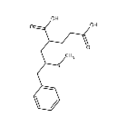 CSC(Cc1ccccc1)CC(CCC(=O)O)C(=O)O